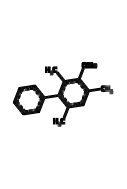 COc1c(C)cc(C)c(-c2ccccc2)c1C